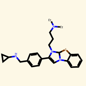 CCN(CC)CCCN1C(c2ccc(CNC3CC3)cc2)=CN2c3ccccc3SC12